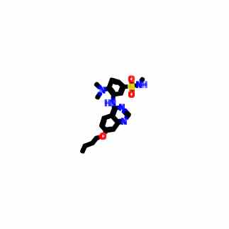 CCCCOc1ccc2c(Nc3cc(S(=O)(=O)NC)ccc3N(C)C)ncnc2c1